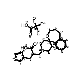 O=C(O)C(Cc1cscn1)CN1CCC2(CC1)OCCCc1ccccc12.O=C(O)C(F)(F)F